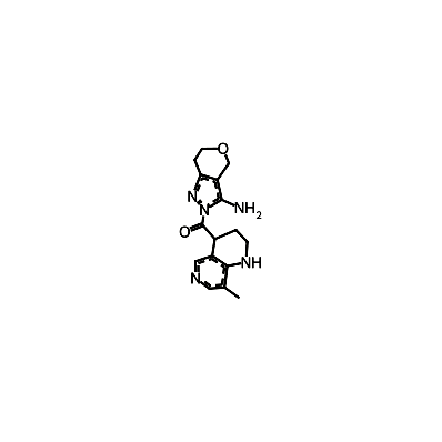 Cc1cncc2c1NCCC2C(=O)n1nc2c(c1N)COCC2